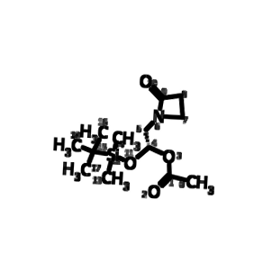 CC(=O)O[C@@H](CN1CCC1=O)O[Si](C)(C)C(C)(C)C